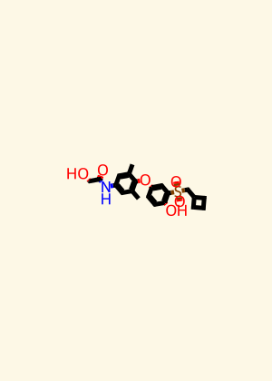 Cc1cc(NC(=O)CO)cc(C)c1Oc1ccc(O)c(S(=O)(=O)CC2CCC2)c1